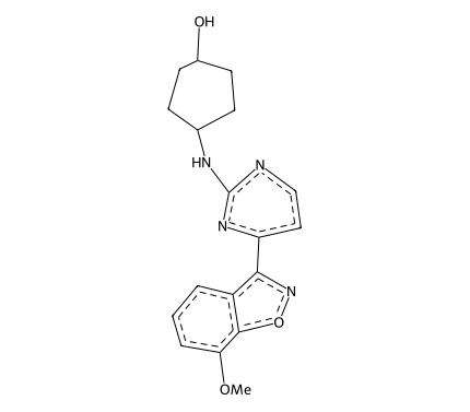 COc1cccc2c(-c3ccnc(NC4CCC(O)CC4)n3)noc12